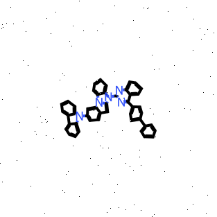 c1ccc(-c2ccc(-c3nc(-n4c5ccccc5n5c6cc(-n7c8ccccc8c8ccccc87)ccc6cc45)nc4ccccc34)cc2)cc1